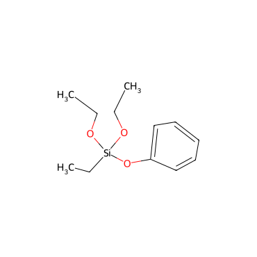 CCO[Si](CC)(OCC)Oc1ccccc1